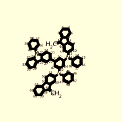 C=C1c2ccccc2-c2ccc(N(c3ccccc3)c3cc(-c4ccc5c(c4)c4ccccc4n5-c4ccccc4)cc(N(c4ccccc4)c4ccc5c(c4)C(=C)c4ccccc4-5)c3)cc21